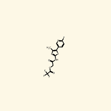 Cc1nc(NC(=O)COC(=O)C(F)(F)F)sc1-c1ccc(F)nc1